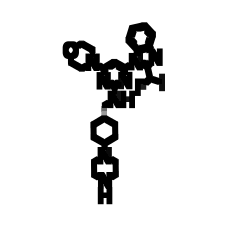 FC(I)c1nc2ccccc2n1-c1cc(N2CCOCC2)nc(NC[C@H]2CC[C@H](N3CCNCC3)CC2)n1